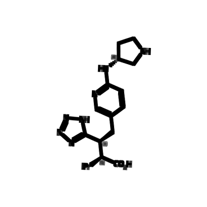 CC(C)[C@H](C(=O)O)[C@H](Cc1ccc(N[C@@H]2CCNC2)nc1)c1nnn[nH]1